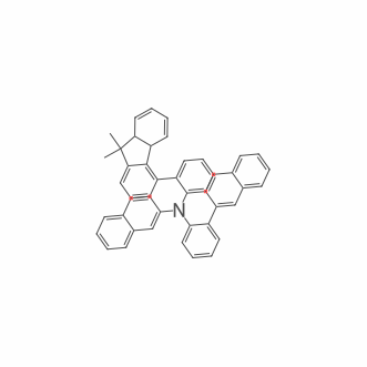 CC1(C)c2cccc(-c3ccccc3N(c3ccc4ccccc4c3)c3ccccc3-c3ccc4ccccc4c3)c2C2C=CC=CC21